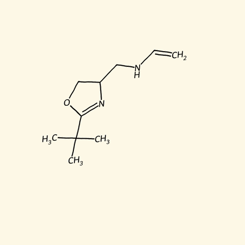 C=CNCC1COC(C(C)(C)C)=N1